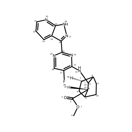 COC(=O)[C@H]1C2CCC(CC2)[C@@H]1Nc1nc(-c2n[nH]c3ncccc23)ncc1F